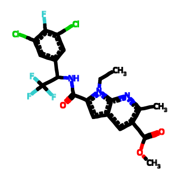 CCn1c(C(=O)NC(c2cc(Cl)c(F)c(Cl)c2)C(F)(F)F)cc2cc(C(=O)OC)c(C)nc21